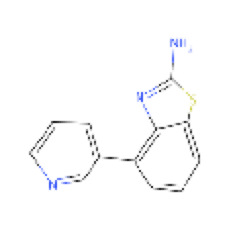 Nc1nc2c(-c3cccnc3)cccc2s1